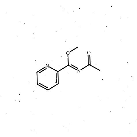 COC(=NC(C)=O)c1ccccn1